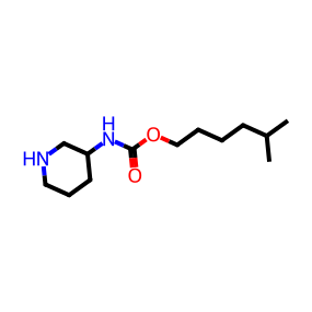 CC(C)CCCCOC(=O)NC1CCCNC1